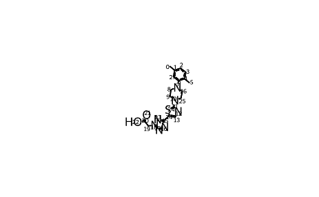 Cc1ccc(C)c(N2CCN(c3ncc(-c4nnn(CC(=O)O)n4)s3)CC2)c1